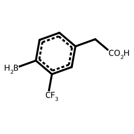 Bc1ccc(CC(=O)O)cc1C(F)(F)F